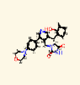 Cc1cccc(Cc2cncc(-c3ccc(N4CCOCC4)cc3)c2CN2CC(=O)NC2=O)c1O